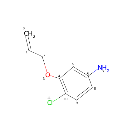 C=CCOc1cc(N)ccc1Cl